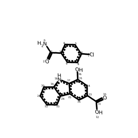 NC(=O)c1ccc(Cl)cc1.O=C(O)c1cc(O)c2[nH]c3ccccc3c2c1